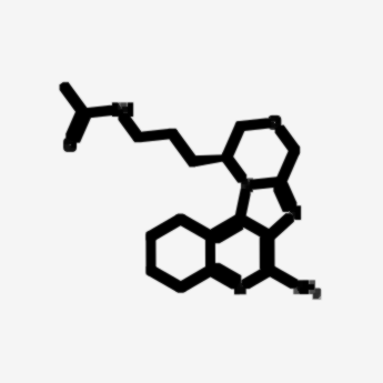 CC(=O)NCCC[C@H]1COCc2nc3c(N)nc4c(c3n21)CCCC4